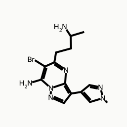 CC(N)CCc1nc2c(-c3cnn(C)c3)cnn2c(N)c1Br